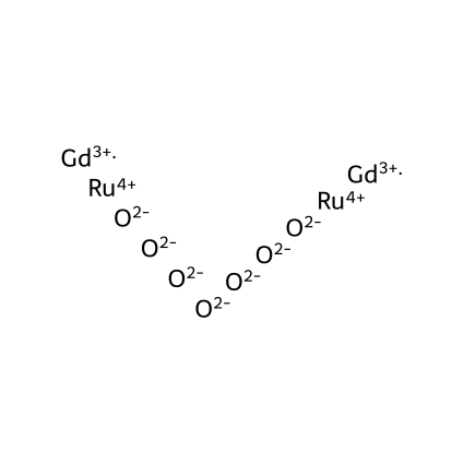 [Gd+3].[Gd+3].[O-2].[O-2].[O-2].[O-2].[O-2].[O-2].[O-2].[Ru+4].[Ru+4]